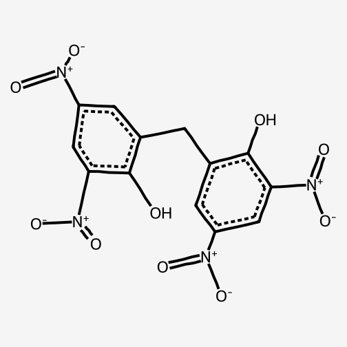 O=[N+]([O-])c1cc(Cc2cc([N+](=O)[O-])cc([N+](=O)[O-])c2O)c(O)c([N+](=O)[O-])c1